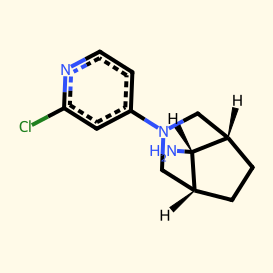 N[C@H]1[C@@H]2CC[C@H]1CN(c1ccnc(Cl)c1)C2